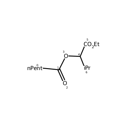 CCCCCC(=O)OC(C(=O)OCC)C(C)C